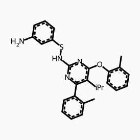 Cc1ccccc1Oc1nc(NSc2cccc(N)c2)nc(-c2ccccc2C)c1C(C)C